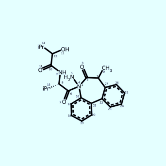 CC1C(=O)[N+](N)(C(=O)[C@@H](NC(=O)C(O)C(C)C)C(C)C)c2ccccc2-c2ccccc21